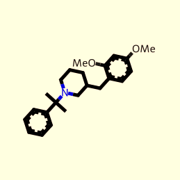 COc1ccc(CC2CCCN(C(C)(C)c3ccccc3)C2)c(OC)c1